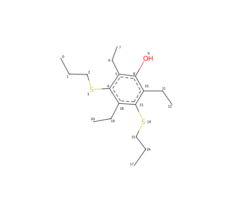 CCCSc1c(CC)c(O)c(CC)c(SCCC)c1CC